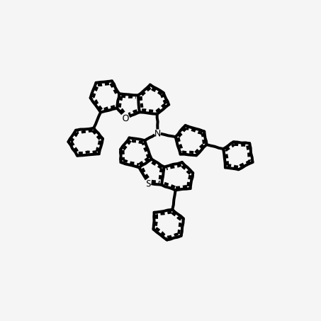 c1ccc(-c2ccc(N(c3cccc4c3oc3c(-c5ccccc5)cccc34)c3cccc4sc5c(-c6ccccc6)cccc5c34)cc2)cc1